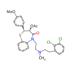 COc1ccc([C@@H]2Sc3ccccc3N(CCN(C)CCc3cccc(Cl)c3Cl)C(=O)[C@@H]2OC(C)=O)cc1